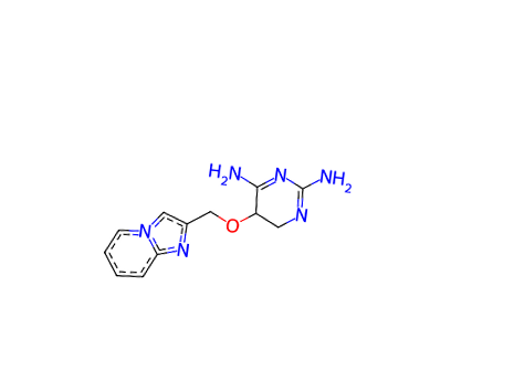 NC1=NCC(OCc2cn3ccccc3n2)C(N)=N1